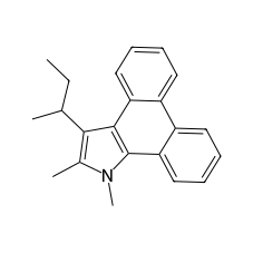 CCC(C)c1c(C)n(C)c2c3ccccc3c3ccccc3c12